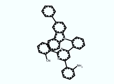 N#Cc1ccccc1-c1nc(-c2ccccc2N)cc(-c2ccccc2-n2c3ccccc3c3cc(-c4ccccc4)ccc32)n1